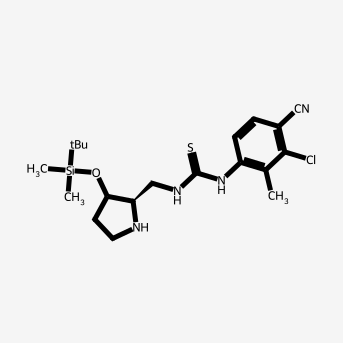 Cc1c(NC(=S)NC[C@H]2NCCC2O[Si](C)(C)C(C)(C)C)ccc(C#N)c1Cl